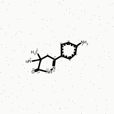 CCCC1(C)CC(c2ccc(N)cc2)=NNC1=O